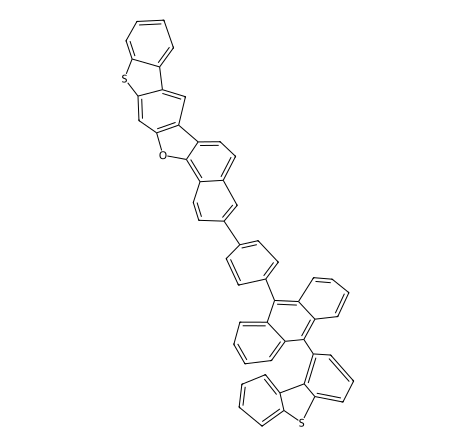 c1ccc2c(c1)sc1cc3oc4c5ccc(-c6ccc(-c7c8ccccc8c(-c8cccc9sc%10ccccc%10c89)c8ccccc78)cc6)cc5ccc4c3cc12